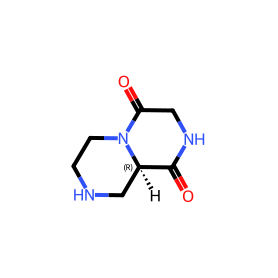 O=C1NCC(=O)N2CCNC[C@H]12